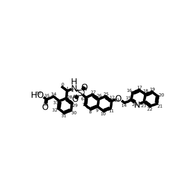 CC(NS(=O)(=O)c1ccc2ccc(OCc3ccc4ccccc4n3)cc2c1)c1ccccc1CC(=O)O